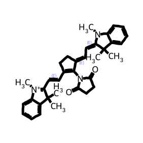 CN1/C(=C/C=C2\CCC(/C=C/C3=[N+](C)c4ccccc4C3(C)C)=C2N2C(=O)CCC2=O)C(C)(C)c2ccccc21